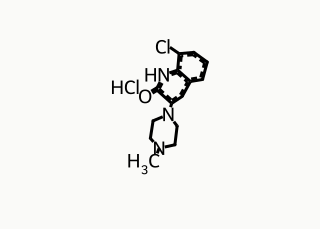 CN1CCN(c2cc3cccc(Cl)c3[nH]c2=O)CC1.Cl